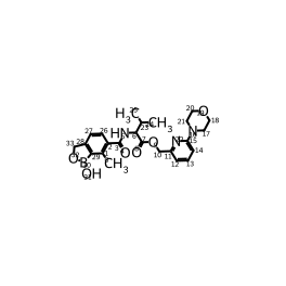 Cc1c(C(=O)NC(C(=O)OCc2cccc(N3CCOCC3)n2)C(C)C)ccc2c1B(O)OC2